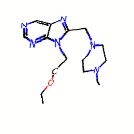 CCOCCn1c(CN2CCN(C)CC2)nc2cncnc21